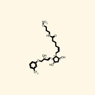 O=C(CCC/C=C\C[C@@H]1[C@@H](/C=C/[C@@H](O)COc2cccc(C(F)(F)F)c2)[C@H](O)C[C@@H]1O)NCCCO[N+](=O)[O-]